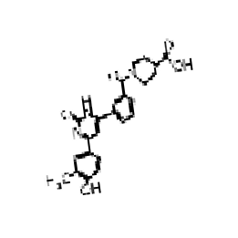 Cc1cc(-c2cc(-c3cccc(C(=O)N4CCC(C(=O)O)CC4)c3)[nH]c(=O)n2)ccc1O